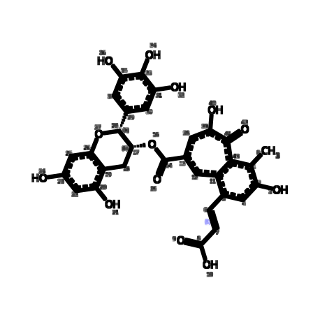 Cc1c(O)cc(/C=C/C(=O)O)c2cc(C(=O)O[C@@H]3Cc4c(O)cc(O)cc4O[C@@H]3c3cc(O)c(O)c(O)c3)cc(O)c(=O)c12